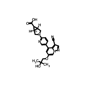 CC(C)(O)COc1cc(-c2ccc(N3C[C@@H]4C(C(=O)O)[C@@H]4C3)nc2)c2c(C#N)cnn2c1